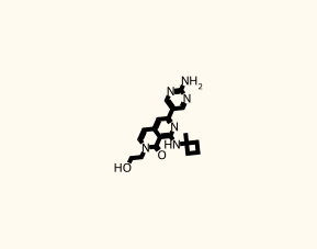 CC1(Nc2nc(-c3cnc(N)nc3)cc3ccn(CCO)c(=O)c23)CCC1